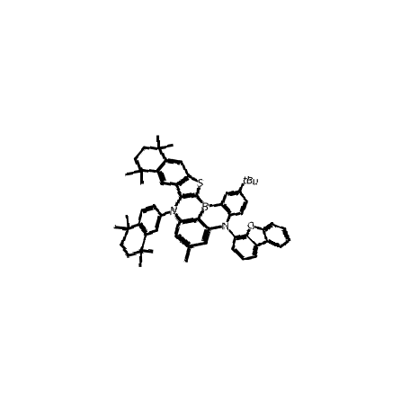 Cc1cc2c3c(c1)N(c1cccc4c1oc1ccccc14)c1ccc(C(C)(C)C)cc1B3c1sc3cc4c(cc3c1N2c1ccc2c(c1)C(C)(C)CCC2(C)C)C(C)(C)CCC4(C)C